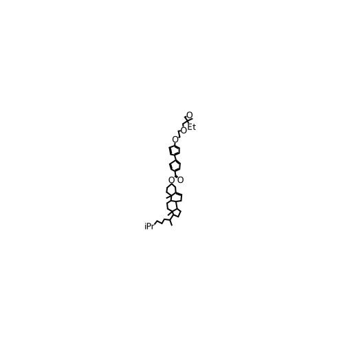 CCC1(COCCOc2ccc(-c3ccc(C(=O)OC4CCC5(C)C(=CCC6C5CCC5(C)C(C(C)CCCC(C)C)CCC65)C4)cc3)cc2)COC1